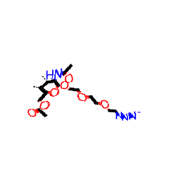 CC(=O)NC1[C@H](OCCOCCOCCN=[N+]=[N-])OC(COC(C)=O)[C@H](C)[C@@H]1C